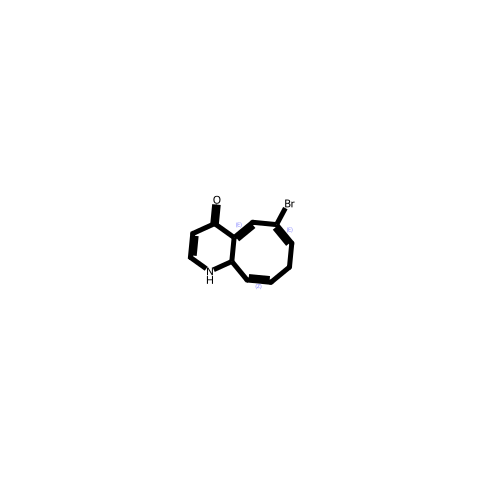 O=C1C=CNC2/C=C\C/C=C(Br)\C=C\12